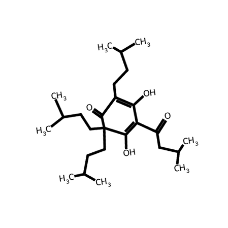 CC(C)CCC1=C(O)C(C(=O)CC(C)C)=C(O)C(CCC(C)C)(CCC(C)C)C1=O